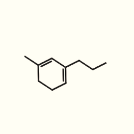 CCCC1=CCCC(C)=C1